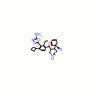 CCc1c(C(=O)C2CNCCC2C2(C#N)C=CC=CC2)ccc(C2CCC2)c1-c1nnc(N)o1